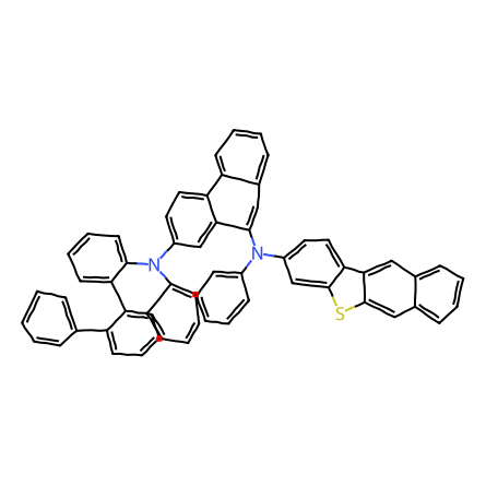 c1ccc(-c2ccccc2-c2ccccc2N(c2ccccc2)c2ccc3c(c2)c(N(c2ccccc2)c2ccc4c(c2)sc2cc5ccccc5cc24)cc2ccccc23)cc1